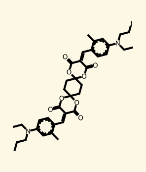 CCCN(CC)c1ccc(C=C2C(=O)OC3(CCC4(CC3)OC(=O)C(=Cc3ccc(N(CC)CCI)cc3C)C(=O)O4)OC2=O)c(C)c1